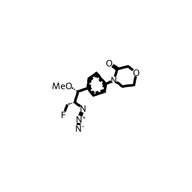 CO[C@H](c1ccc(N2CCOCC2=O)cc1)[C@@H](CF)N=[N+]=[N-]